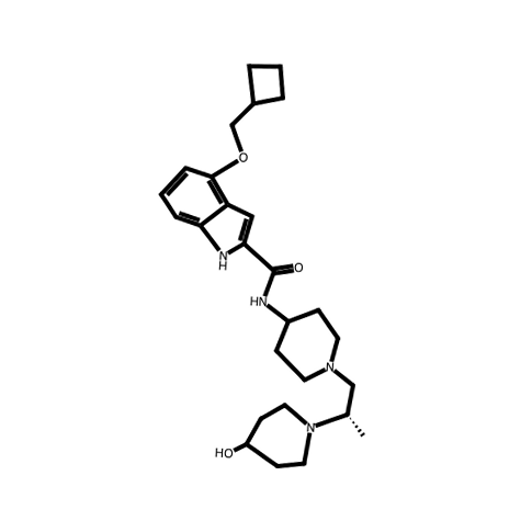 C[C@@H](CN1CCC(NC(=O)c2cc3c(OCC4CCC4)cccc3[nH]2)CC1)N1CCC(O)CC1